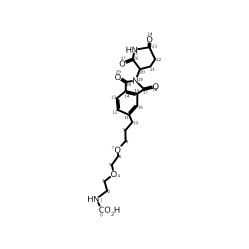 O=C(O)NCCOCCOCCCc1ccc2c(c1)C(=O)N(C1CCC(=O)NC1=O)C2=O